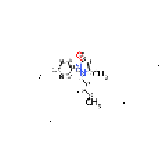 CCCCCn1c(C)cc(=O)n1-c1ccccc1